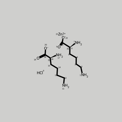 Cl.NCCCC[C@H](N)C(=O)[O-].NCCCC[C@H](N)C(=O)[O-].[Zn+2]